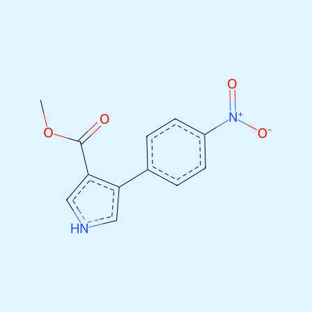 COC(=O)c1c[nH]cc1-c1ccc([N+](=O)[O-])cc1